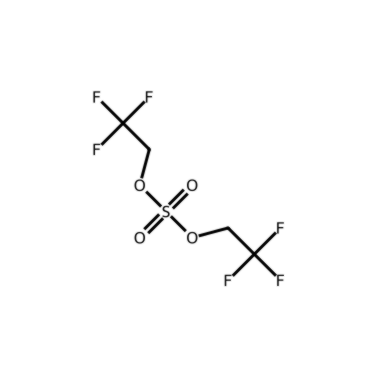 O=S(=O)(OCC(F)(F)F)OCC(F)(F)F